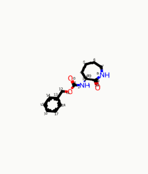 O=C(N[C@@H]1CCCCNC1=O)OCc1ccccc1